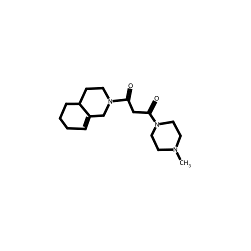 CN1CCN(C(=O)CC(=O)N2CCC3CCCC=C3C2)CC1